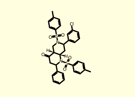 Cc1ccc(S(=O)(=O)N2C[C@H]3C(=O)CC(c4ccccc4)N(S(=O)(=O)c4ccc(C)cc4)[C@H]3CC2c2cccc(Cl)c2)cc1